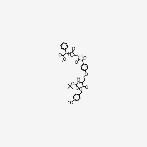 COC(=O)C(c1ccccc1)N1CC(NC(=O)C(=O)c2ccc(OCCC(NC(=O)OC(C)(C)C)C(=O)OCc3ccc(OC)cc3)cc2)C1=O